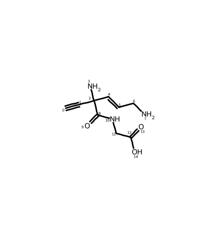 C#CC(N)(C=CCN)C(=O)NCC(=O)O